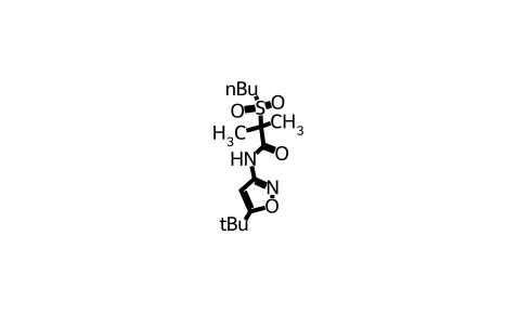 CCCCS(=O)(=O)C(C)(C)C(=O)Nc1cc(C(C)(C)C)on1